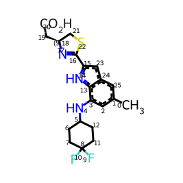 Cc1cc(NC2CCC(F)(F)CC2)c2[nH]c(C3=N[C@@H](CC(=O)O)CS3)cc2c1